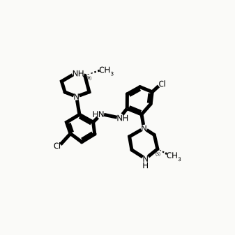 C[C@@H]1CN(c2cc(Cl)ccc2NNc2ccc(Cl)cc2N2CCN[C@@H](C)C2)CCN1